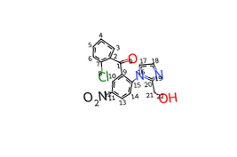 O=C(c1ccccc1Cl)c1cc([N+](=O)[O-])ccc1-n1ccnc1CO